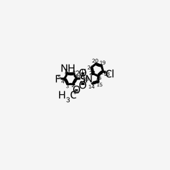 COc1cc(F)c(N)cc1S(=O)(=O)n1ccc2c(Cl)cccc21